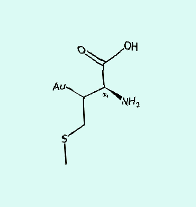 CSC[CH]([Au])[C@H](N)C(=O)O